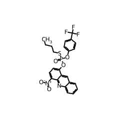 CCCCSP(=O)(Oc1ccc(C(F)(F)F)cc1)Oc1ccc([N+](=O)[O-])c2nc3ccccc3cc12